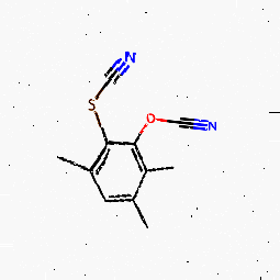 Cc1cc(C)c(SC#N)c(OC#N)c1C